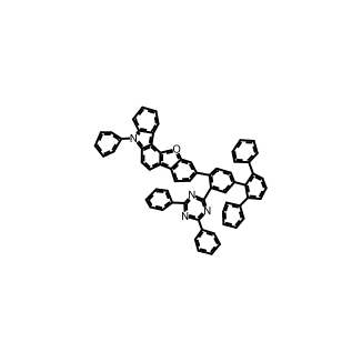 c1ccc(-c2nc(-c3ccccc3)nc(-c3cc(-c4c(-c5ccccc5)cccc4-c4ccccc4)ccc3-c3ccc4c(c3)oc3c4ccc4c3c3ccccc3n4-c3ccccc3)n2)cc1